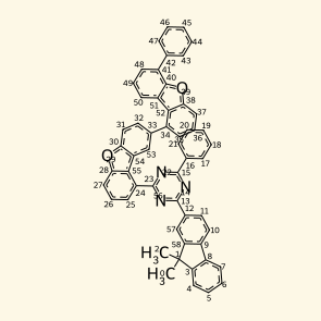 CC1(C)c2ccccc2-c2ccc(-c3nc(-c4ccccc4)nc(-c4cccc5oc6ccc(-c7cccc8oc9c(-c%10ccccc%10)cccc9c78)cc6c45)n3)cc21